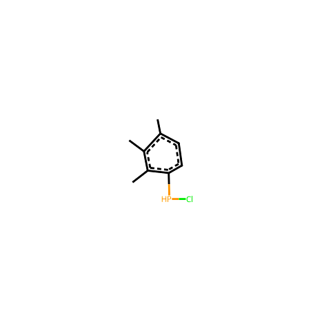 Cc1ccc(PCl)c(C)c1C